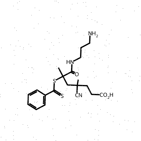 CC(C#N)(CCC(=O)O)CC(C)(SC(=S)c1ccccc1)C(=O)NCCCN